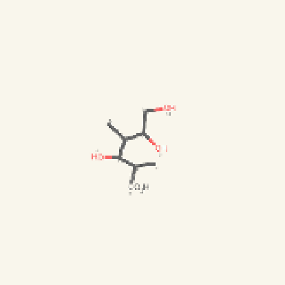 CC(C(=O)O)C(O)C(C)C(O)CO